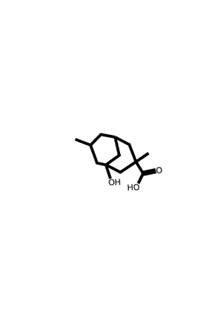 CC1CC2CC(O)(C1)CC(C)(C(=O)O)C2